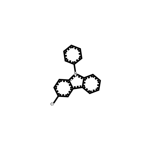 Clc1ccc2c(c1)c1ccccc1n2-c1ccccc1